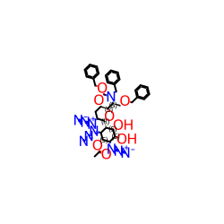 CC(=O)O[C@H]1C(N=[N+]=[N-])C([C@H]2O[C@H]([C@H](COCc3ccccc3)N(Cc3ccccc3)C(=O)OCc3ccccc3)CCC2N=[N+]=[N-])[C@H](O)[C@@H](O)C1N=[N+]=[N-]